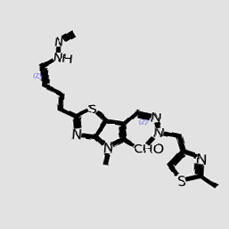 C=NN/C=C\CCC1=NC2C(S1)C(/C=N\N(C)Cc1csc(C)n1)=C(C=O)N2C